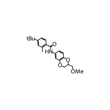 COCC1COc2cc(NC(=O)c3ccc(C(C)(C)C)cc3C)ccc2O1